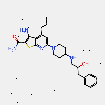 CCCc1cc(N2CCC(NCC(O)Cc3ccccc3)CC2)nc2sc(C(N)=O)c(N)c12